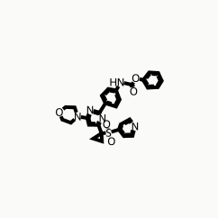 O=C(Nc1ccc(-c2nc(N3CCOCC3)cc(C3(S(=O)(=O)c4ccncc4)CC3)n2)cc1)Oc1ccccc1